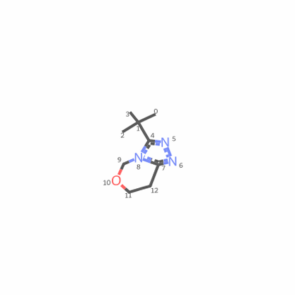 CC(C)(C)c1nnc2n1COCC2